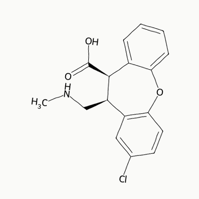 CNC[C@@H]1c2cc(Cl)ccc2Oc2ccccc2[C@@H]1C(=O)O